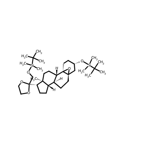 CC(C)(C)[Si](C)(C)OCC1([C@H]2CC[C@H]3[C@@H]4CC[C@@]56C[C@@H](O[Si](C)(C)C(C)(C)C)CC[C@@]5(O6)[C@H]4CC[C@]23C)OCCO1